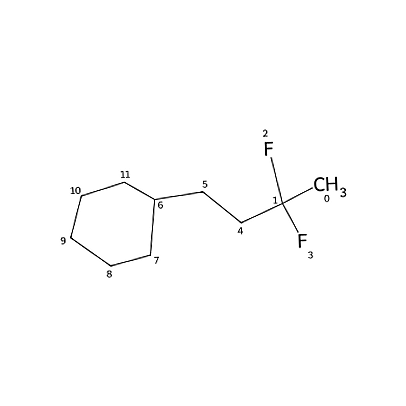 CC(F)(F)CCC1CCCCC1